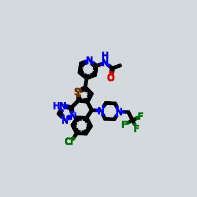 CC(=O)Nc1cc(-c2cc(C(c3ccc(Cl)cc3)N3CCN(CC(F)(F)F)CC3)c(-c3nnc[nH]3)s2)ccn1